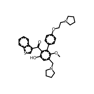 COc1c(CN2CCCC2)cc(O)c(C(=O)c2csc3ccccc23)c1-c1ccc(OCCN2CCCC2)cc1